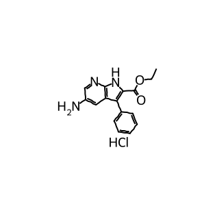 CCOC(=O)c1[nH]c2ncc(N)cc2c1-c1ccccc1.Cl